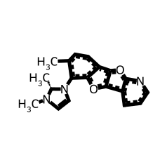 Cc1ccc2c(oc3c4cccnc4oc23)c1N1C=CN(C)[C@@H]1C